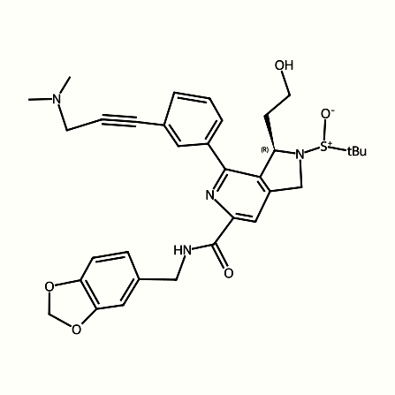 CN(C)CC#Cc1cccc(-c2nc(C(=O)NCc3ccc4c(c3)OCO4)cc3c2[C@@H](CCO)N([S+]([O-])C(C)(C)C)C3)c1